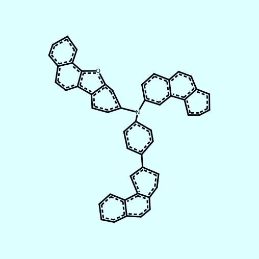 c1ccc2c(c1)ccc1ccc(-c3ccc(N(c4ccc5c(c4)oc4c6ccccc6ccc54)c4ccc5ccc6ccccc6c5c4)cc3)cc12